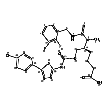 CN(C(=O)NCc1cccc(F)c1F)[C@@H](CCCC(=O)O)COC(=O)Nc1nnc(-c2ccc(Cl)cc2)s1